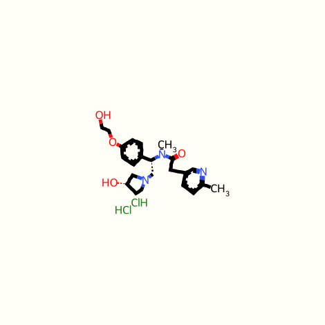 Cc1ccc(CC(=O)N(C)[C@H](CN2CC[C@H](O)C2)c2ccc(OCCO)cc2)cn1.Cl.Cl